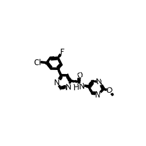 COc1ncc(NC(=O)c2cc(-c3cc(F)cc(Cl)c3)ncn2)cn1